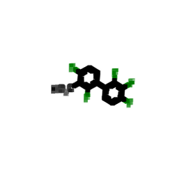 O=C(O)c1c(F)ccc(-c2ccc(F)c(F)c2F)c1F